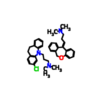 CN(C)CC/C=C1\c2ccccc2COc2ccccc21.CN(C)CCCN1c2ccccc2CCc2ccc(Cl)cc21